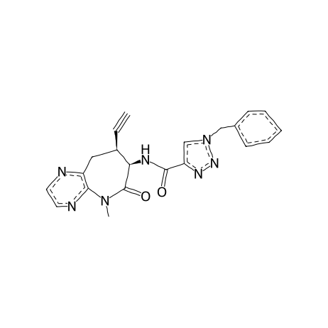 C#C[C@@H]1Cc2nccnc2N(C)C(=O)[C@@H]1NC(=O)c1cn(Cc2ccccc2)nn1